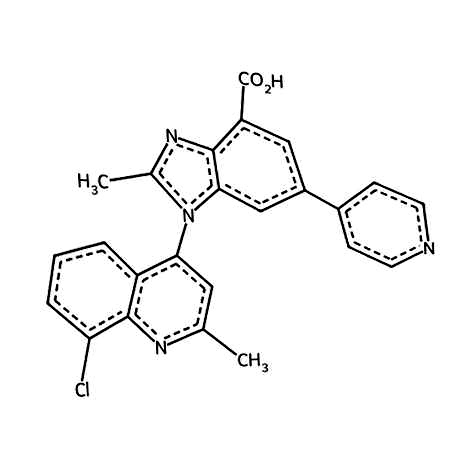 Cc1cc(-n2c(C)nc3c(C(=O)O)cc(-c4ccncc4)cc32)c2cccc(Cl)c2n1